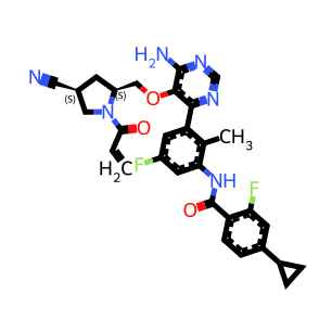 C=CC(=O)N1C[C@@H](C#N)C[C@H]1COc1c(N)ncnc1-c1cc(F)cc(NC(=O)c2ccc(C3CC3)cc2F)c1C